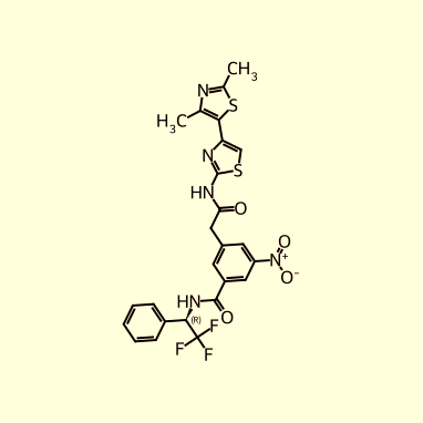 Cc1nc(C)c(-c2csc(NC(=O)Cc3cc(C(=O)N[C@H](c4ccccc4)C(F)(F)F)cc([N+](=O)[O-])c3)n2)s1